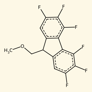 COCC1c2cc(F)c(F)c(F)c2-c2c1cc(F)c(F)c2F